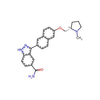 CN1CCC[C@H]1COc1ccc2cc(-c3n[nH]c4ccc(C(N)=O)cc34)ccc2c1